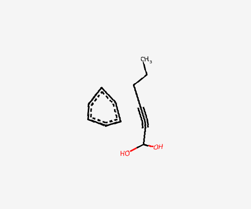 CCCC#CC(O)O.c1ccccc1